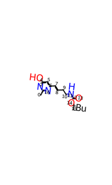 Cc1nc(O)cc(C=CCCNC(=O)OC(C)(C)C)n1